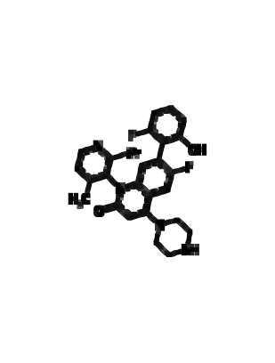 Cc1ccnc(C(C)C)c1-n1c(=O)cc(N2CCNCC2)c2cc(F)c(-c3c(O)cccc3F)cc21